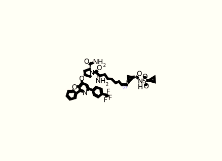 NC(=O)[C@@H]1C[C@@H](Oc2cc(-c3ccc(C(F)(F)F)cc3)nc3c2oc2ccccc23)CN1C(=O)[C@@H](N)CCCCC/C=C\[C@@H]1C[C@@H]1C(=O)NS(=O)(=O)C1CC1